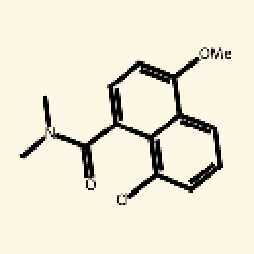 COc1ccc(C(=O)N(C)C)c2c(Cl)cccc12